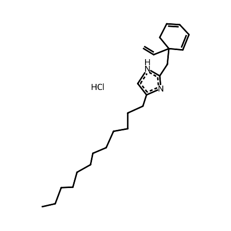 C=CC1(Cc2nc(CCCCCCCCCCCC)c[nH]2)C=CC=CC1.Cl